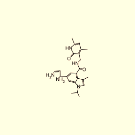 Cc1cc(C)c(CNC(=O)c2cc(C(N)/C=C\N)cc3c2c(C)cn3C(C)C)c(=O)[nH]1